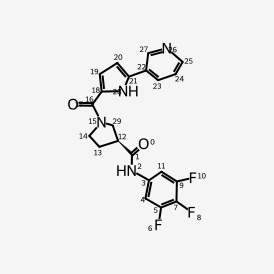 O=C(Nc1cc(F)c(F)c(F)c1)[C@H]1CCN(C(=O)c2ccc(-c3cccnc3)[nH]2)C1